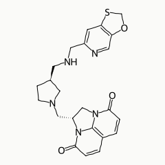 O=c1ccc2ccc(=O)n3c2n1C[C@H]3CN1CC[C@@H](CNCc2cc3c(cn2)OCS3)C1